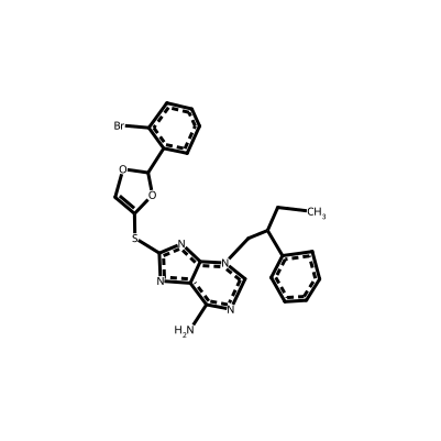 CCC(Cn1cnc(N)c2nc(SC3=COC(c4ccccc4Br)O3)nc1-2)c1ccccc1